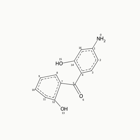 Nc1ccc(C(=O)c2ccccc2O)c(O)c1